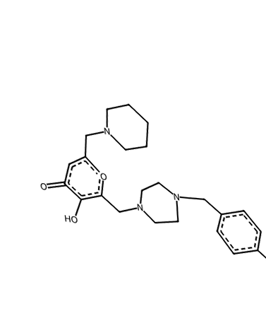 O=c1cc(CN2CCCCC2)oc(CN2CCN(Cc3ccc(Cl)cc3)CC2)c1O